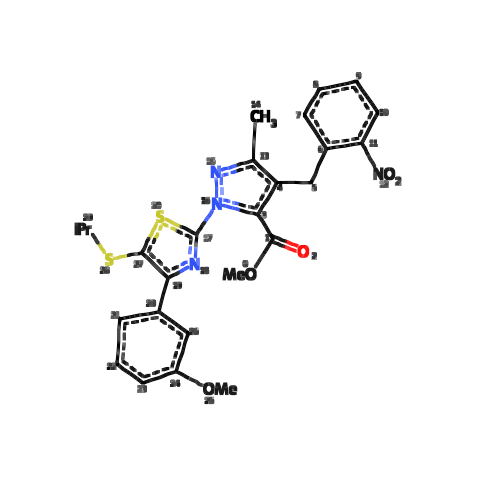 COC(=O)c1c(Cc2ccccc2[N+](=O)[O-])c(C)nn1-c1nc(-c2cccc(OC)c2)c(SC(C)C)s1